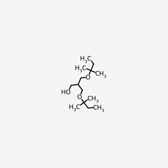 CCC(C)(C)OCC(CO)COC(C)(C)CC